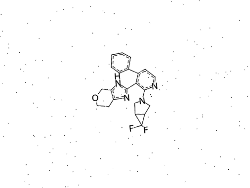 FC1(F)C2CN(c3nccc(-c4ccccc4)c3-c3nc4c([nH]3)COCC4)CC21